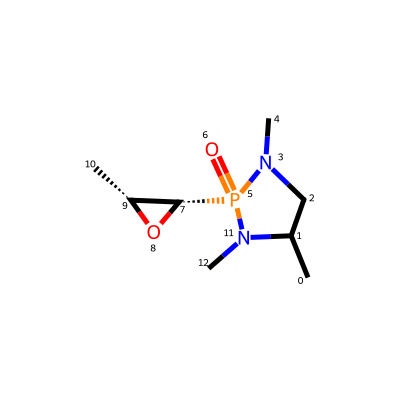 CC1CN(C)P(=O)([C@@H]2O[C@@H]2C)N1C